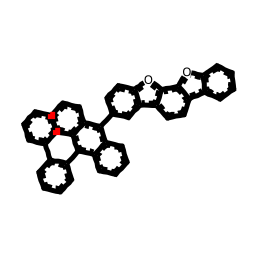 c1ccc(-c2ccccc2-c2c3ccccc3c(-c3ccc4oc5c(ccc6c7ccccc7oc65)c4c3)c3ccccc23)cc1